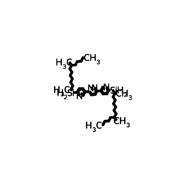 CCCCCC(C)CCCCCCC(C)[SiH2]c1ccc(-c2ccc(-c3ccc([SiH2]C(C)CCCCCCC(C)CCCCC)nc3)nn2)cn1